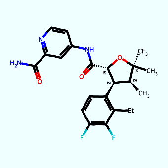 CCc1c([C@H]2[C@H](C(=O)Nc3ccnc(C(N)=O)c3)O[C@](C)(C(F)(F)F)[C@H]2C)ccc(F)c1F